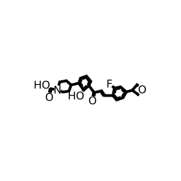 O=C(C=Cc1ccc(C2COC2)cc1F)c1cccc(C2CCN(C(=O)O)CC2)c1O